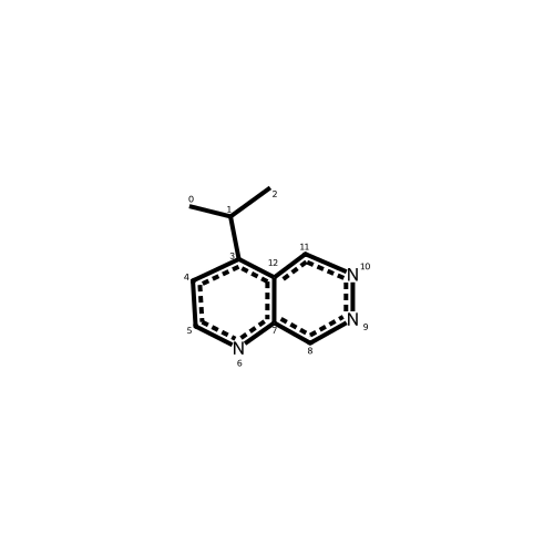 CC(C)c1ccnc2cnncc12